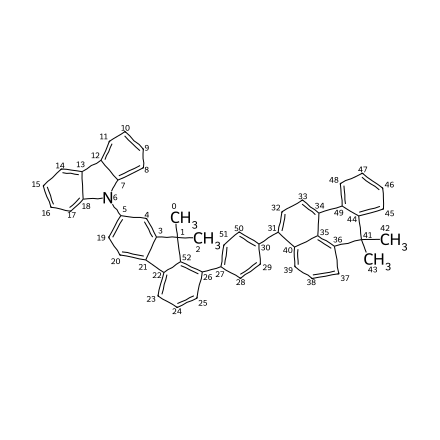 CC1(C)c2cc(-n3c4ccccc4c4ccccc43)ccc2-c2cccc(-c3ccc(-c4ccc5c6c(cccc46)C(C)(C)c4ccccc4-5)cc3)c21